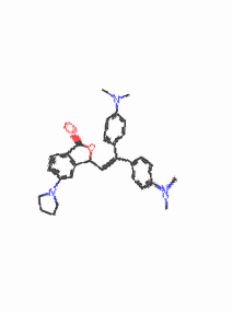 CN(C)c1ccc(C(=CC2OC(=O)c3ccc(N4CCCC4)cc32)c2ccc(N(C)C)cc2)cc1